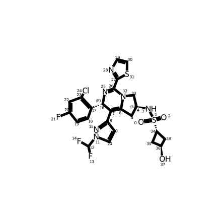 O=S(=O)(N[C@H]1CC2=C(c3ccn(C(F)F)n3)[C@H](c3ccc(F)cc3Cl)N=C(c3nccs3)N2C1)[C@H]1C[C@H](O)C1